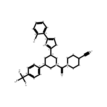 N#CC1CCN(C(=O)N2CC(C3=NC(c4ccccc4F)=CC3)CC(c3ccc(C(F)(F)F)cc3)C2)CC1